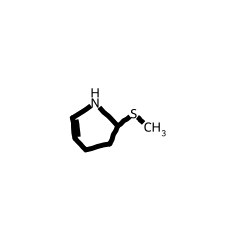 CSC1CCC=CN1